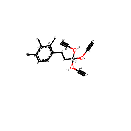 C#CO[Si](CCc1ccc(C)c(C)c1C)(OC#C)OC#C